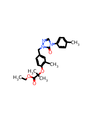 CCOC(=O)C(C)(C)Oc1ccc(Cn2ncn(-c3ccc(C)cc3)c2=O)cc1C